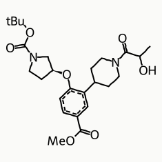 COC(=O)c1ccc(O[C@H]2CCN(C(=O)OC(C)(C)C)C2)c(C2CCN(C(=O)C(C)O)CC2)c1